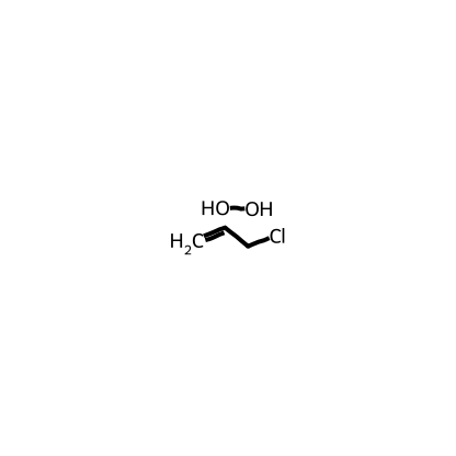 C=CCCl.OO